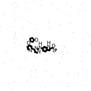 COC1CCC(Oc2ccnc(-c3ccnc(Nc4ccc5cc(C(=O)N(C)C)[nH]c5c4)n3)c2)C1